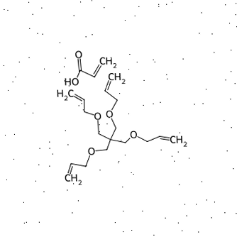 C=CC(=O)O.C=CCOCC(COCC=C)(COCC=C)COCC=C